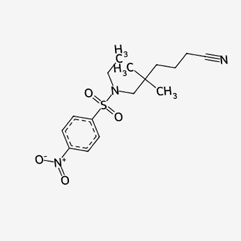 CCN(CC(C)(C)CCCC#N)S(=O)(=O)c1ccc([N+](=O)[O-])cc1